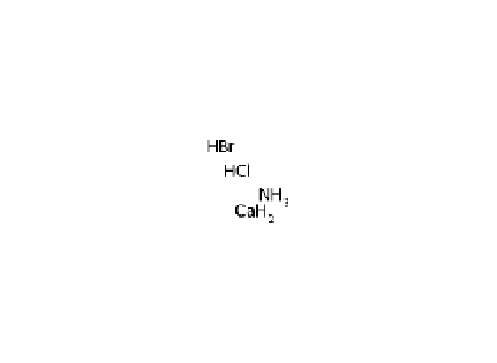 Br.Cl.N.[CaH2]